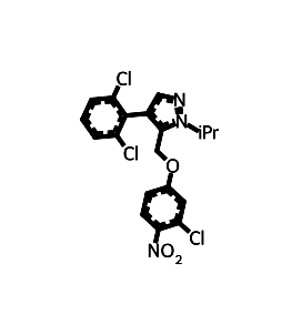 CC(C)n1ncc(-c2c(Cl)cccc2Cl)c1COc1ccc([N+](=O)[O-])c(Cl)c1